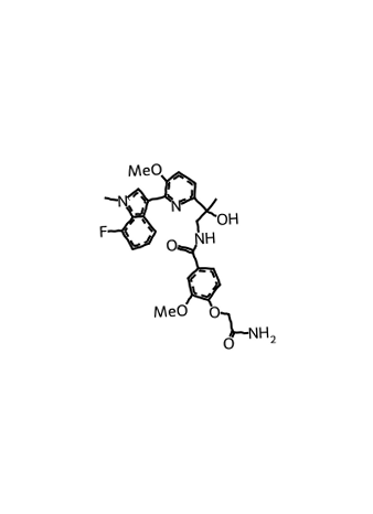 COc1cc(C(=O)NCC(C)(O)c2ccc(OC)c(-c3cn(C)c4c(F)cccc34)n2)ccc1OCC(N)=O